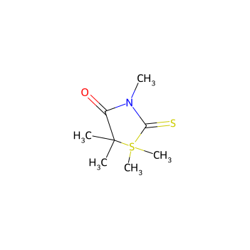 CN1C(=O)C(C)(C)S(C)(C)C1=S